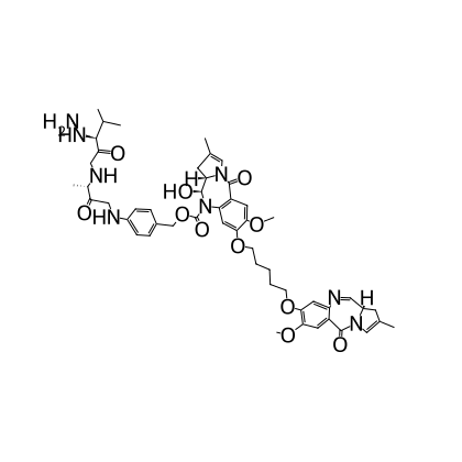 COc1cc2c(cc1OCCCCCOc1cc3c(cc1OC)C(=O)N1C=C(C)C[C@H]1[C@H](O)N3C(=O)OCc1ccc(NCC(=O)[C@H](C)NCC(=O)[C@@H](NN)C(C)C)cc1)N=C[C@@H]1CC(C)=CN1C2=O